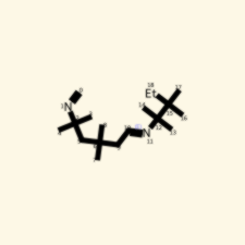 C=NC(C)(C)CC(C)(C)C/C=N/C(C)(C)C(C)(C)CC